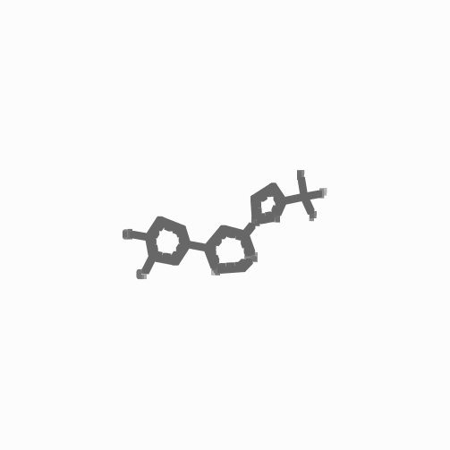 FC(F)(F)c1ccn(-c2cc(-c3ccc(Cl)c(Cl)c3)ncn2)n1